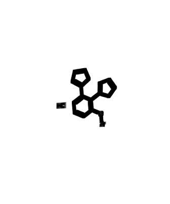 Cl.[Zr][O]c1cccc(C2=CC=CC2)c1C1=CC=CC1